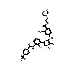 CCN(CC)CCNC(=O)c1ccc(Nc2nc(-c3cccc(NC(=O)c4ccc(C(C)(C)C)cc4)c3C)cn(C)c2=O)cc1N